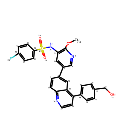 COc1ncc(-c2ccc3nccc(-c4ccc(CO)cc4)c3c2)cc1NS(=O)(=O)c1ccc(F)cc1